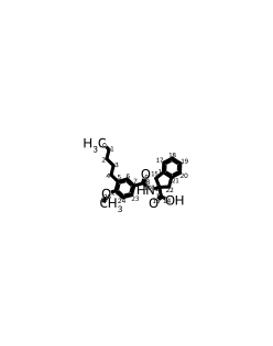 CCCCCc1cc(C(=O)NC2(C(=O)O)Cc3ccccc3C2)ccc1OC